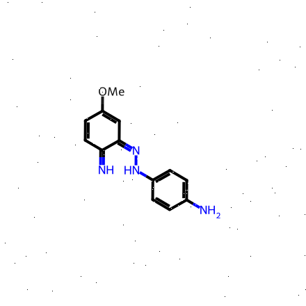 COC1=C/C(=N/Nc2ccc(N)cc2)C(=N)C=C1